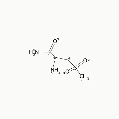 CS(=O)(=O)CC(N)C(N)=O